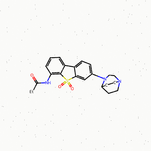 CCC(=O)Nc1cccc2c1S(=O)(=O)c1cc(N3CCN4CCC3CC4)ccc1-2